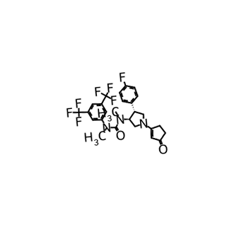 CN(C(=O)N(C)[C@@H]1CN(C2=CC(=O)CC2)C[C@H]1c1ccc(F)cc1)c1cc(C(F)(F)F)cc(C(F)(F)F)c1